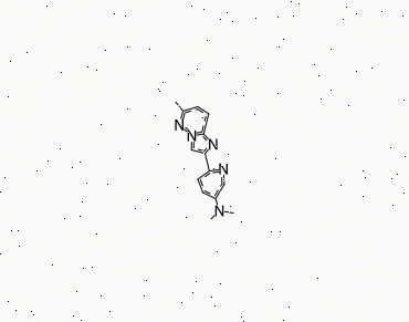 Cc1ccc2nc(-c3ccc(N(C)C)cn3)cn2n1